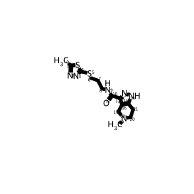 Cc1nnc(SCCCNC(=O)c2n[nH]c3c2CN(C)CC3)s1